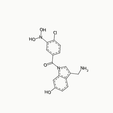 NCc1cn(C(=O)c2ccc(Cl)c(N(O)O)c2)c2cc(O)ccc12